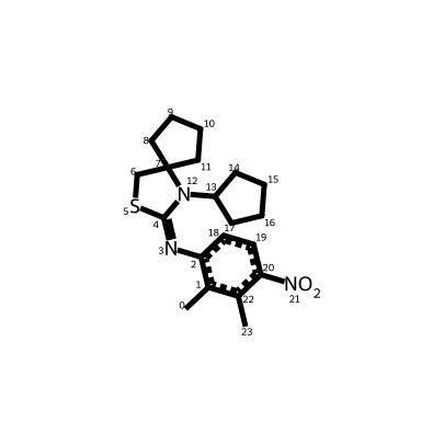 Cc1c(/N=C2/SCC3(CCCC3)N2C2CCCC2)ccc([N+](=O)[O-])c1C